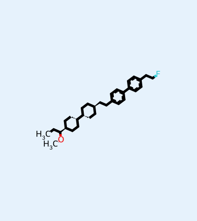 CCC(OC)[C@H]1CC[C@H]([C@H]2CC[C@H](CCc3ccc(-c4ccc(CCF)cc4)cc3)CC2)CC1